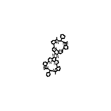 Cc1c2nc3c1cccc3c1ccc3c(n1)c1nc(ccc1c1nc4c5ccc6nc5c5nc(ccc5c4nc31)c1cccc3c(C)c([nH]c31)c(-c1ccccc1)c1nc3c(cccc63)c1C)c1cccc3c(C)c([nH]c31)c2-c1ccccc1